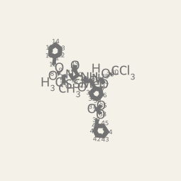 CSC12SC(C)(C)[C@H](C(=O)OCc3ccccc3)N1C(=O)[C@H]2NC(=O)C(NC(=O)OCC(Cl)(Cl)Cl)c1ccc(OC(=O)OCc2ccccc2)cc1